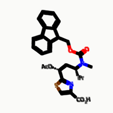 CC(=O)O[C@H](C[C@H](C(C)C)N(C)C(=O)OCC1c2ccccc2-c2ccccc21)c1nc(C(=O)O)cs1